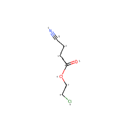 N#CCCC(=O)OCCCl